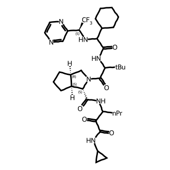 CCCC(NC(=O)[C@@H]1[C@H]2CCC[C@H]2CN1C(=O)C(NC(=O)C(N[C@@H](c1cnccn1)C(F)(F)F)C1CCCCC1)C(C)(C)C)C(=O)C(=O)NC1CC1